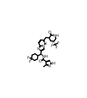 Cc1n[nH]cc1C(=O)N[C@H](c1cn2nc(CC3C[C@@H](C(F)(F)F)CNC3=O)ccc2n1)C1CCC(F)(F)CC1